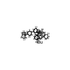 CCC1=Cc2c(-c3ccc(C45CC6CC(CC(C6)C4)C5)cc3)cccc2[CH]1[Zr]([Cl])([Cl])([CH]1C(C2CCCCC2)=Cc2c(C(C)CC)cccc21)[SiH](C)C